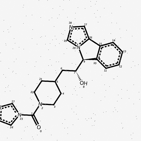 O=C(N1CCC(C[C@@H](O)[C@@H]2c3ccccc3-c3cncn32)CC1)n1ccnc1